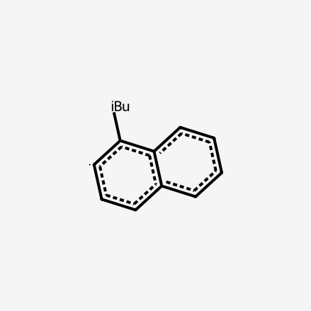 CCC(C)c1[c]ccc2ccccc12